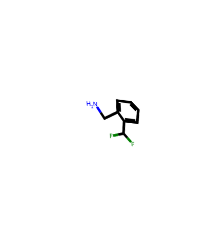 NCc1ccccc1C(F)F